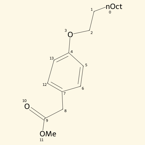 CCCCCCCCCCOc1ccc(CC(=O)OC)cc1